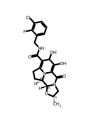 C[C@H]1CN2C(=O)C3=C(O)C(O)C(C(=O)NCc4cccc(Cl)c4F)=C4CC[C@H]([C@H]2O1)N43